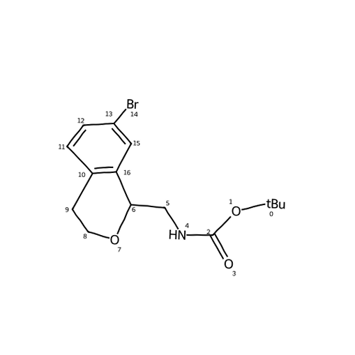 CC(C)(C)OC(=O)NCC1OCCc2ccc(Br)cc21